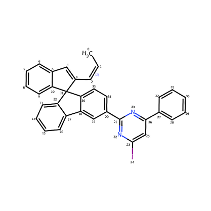 C/C=C\C1=Cc2ccccc2C12c1ccccc1-c1cc(-c3nc(I)cc(-c4ccccc4)n3)ccc12